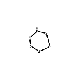 P1SSSSS1